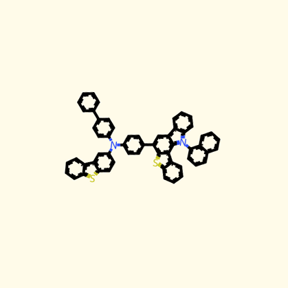 c1ccc(-c2ccc(N(c3ccc(-c4cc5c6ccccc6n(-c6cccc7ccccc67)c5c5c4sc4ccccc45)cc3)c3ccc4sc5ccccc5c4c3)cc2)cc1